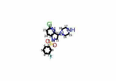 O=S(=O)(c1cccc(F)c1)N1CC(N2CCNCC2)c2nc(Cl)ccc21